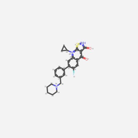 O=c1[nH]sc2c1c(=O)c1cc(F)c(-c3cccc(CN4CCCCC4)c3)cc1n2C1CC1